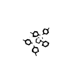 Cc1ccc(P(C[C@@]2(c3ccccc3)C[C@H](P(c3ccc(C)cc3)c3ccc(C)cc3)CN2S(=O)(=O)O)c2ccc(C)cc2)cc1